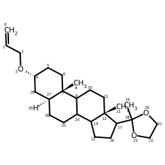 C=CCO[C@@H]1CC[C@]2(C)C3CC[C@@]4(C)C(CCC4C4(C)OCCO4)C3CC[C@H]2C1